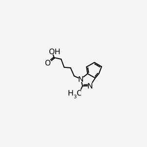 Cc1nc2ccccc2n1CCCCC(=O)O